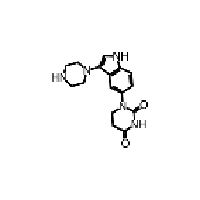 O=C1CCN(c2ccc3[nH]cc(N4CCNCC4)c3c2)C(=O)N1